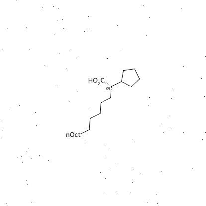 CCCCCCCCCCCCC[C@H](C(=O)O)C1CCCC1